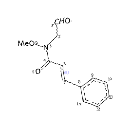 CON(C[C]=O)C(=O)/C=C/c1ccccc1